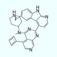 CN(c1nc(-c2ccnc3[nH]c4ccc(F)cc4c23)nc2cncc(C3=CC=C3)c12)C1CCNCC1